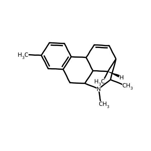 Cc1ccc2c(c1)CC1C3C2C=CC(C(C)N1C)[C@@H]3C